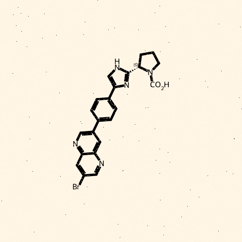 O=C(O)N1CCC[C@H]1c1nc(-c2ccc(-c3cnc4cc(Br)cnc4c3)cc2)c[nH]1